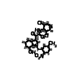 Cc1ccc([N+](=O)[O-])c(Cn2cc(C(=O)C(=O)Nc3c(Cl)cncc3Cl)c3cccc(O)c32)c1